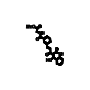 COC(=O)CNC(=O)c1cccc(C=CC(=O)c2c(O)c3ccccc3[nH]c2=O)c1